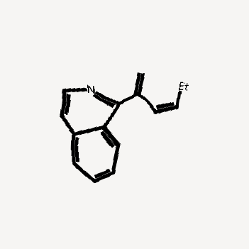 C=C(/C=C\CC)c1nccc2ccccc12